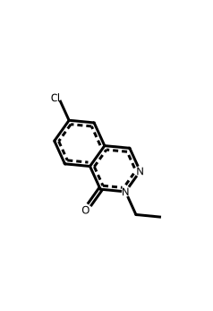 CCn1ncc2cc(Cl)ccc2c1=O